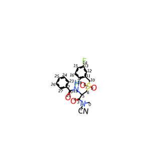 CN(C#N)C(=O)C(CS(=O)(=O)Cc1cc(F)ccc1F)NC(=O)c1ccccc1